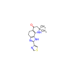 CC1(C)CC(=O)C2=C(N1)c1[nH]c(-c3cscn3)nc1CC2